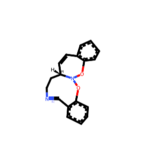 C1=C[C@H]2CC/N=C/c3ccccc3ON2Oc2ccccc21